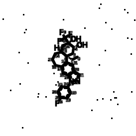 CC[C@@]12C[C@@H](O)[C@](O)(C(F)(F)F)C[C@@H]1CCCc1cc3c(cnn3-c3ccc(F)cc3)cc12